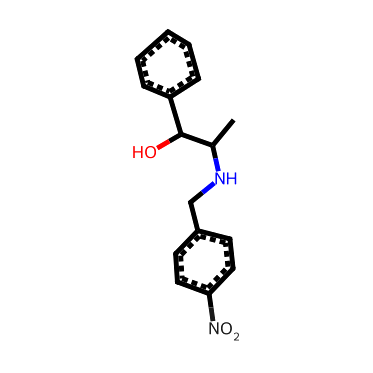 CC(NCc1ccc([N+](=O)[O-])cc1)C(O)c1ccccc1